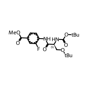 COC(=O)c1ccc(NC(=O)[C@H](COC(C)(C)C)NC(=O)OC(C)(C)C)c(F)c1